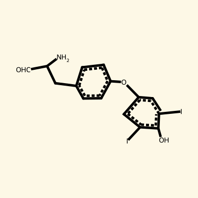 NC(C=O)Cc1ccc(Oc2cc(I)c(O)c(I)c2)cc1